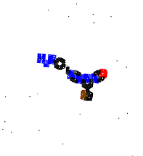 N[C@H]1CC[C@H](CCN2CCN(c3cc(-c4cccs4)cc(N4CCOCC4)n3)CC2)CC1